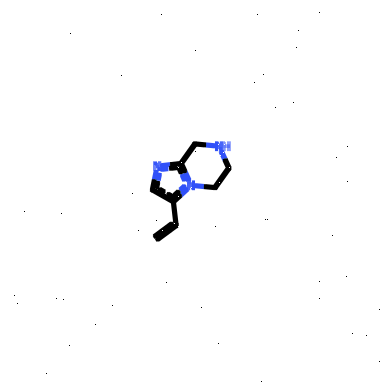 C=Cc1cnc2n1CCNC2